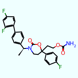 C[C@@H](c1ccc(-c2ccc(F)cc2F)cc1)N1CCC(CCOC(N)=O)(c2ccc(F)cc2)OC1=O